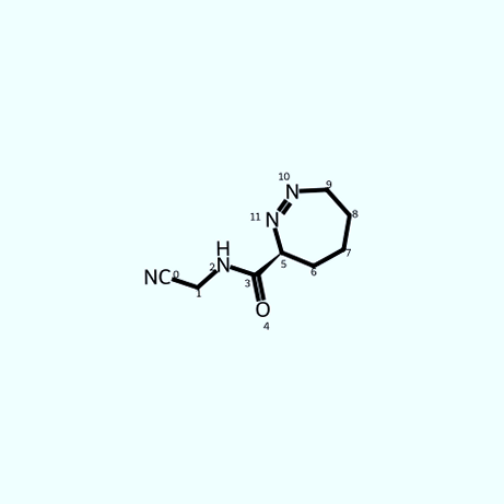 N#CCNC(=O)[C@@H]1CCCCN=N1